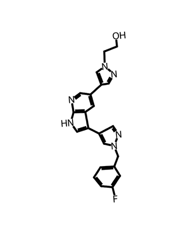 OCCn1cc(-c2cnc3[nH]cc(-c4cnn(Cc5cccc(F)c5)c4)c3c2)cn1